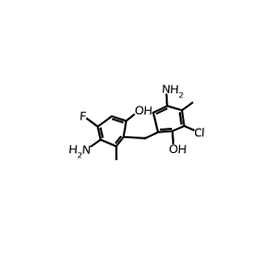 Cc1c(N)cc(Cc2c(O)cc(F)c(N)c2C)c(O)c1Cl